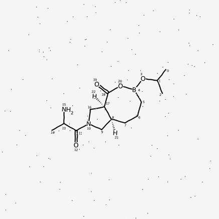 CC(C)OB1CCC[C@H]2CN(C(=O)C(C)N)C[C@H]2C(=O)O1